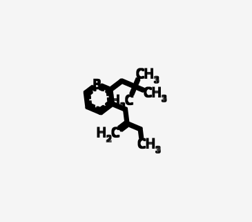 C=C(CC)Cc1cccbc1CC(C)(C)C